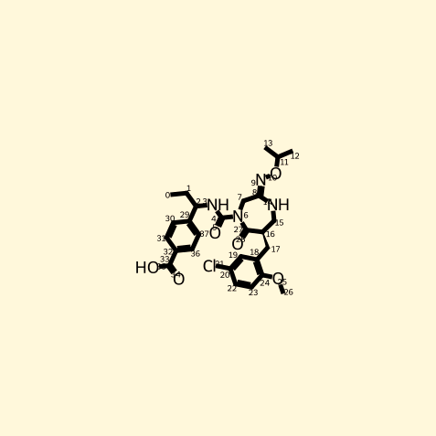 CCC(NC(=O)N1C/C(=N/OC(C)C)NC[C@@H](Cc2cc(Cl)ccc2OC)C1=O)c1ccc(C(=O)O)cc1